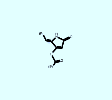 CCCC(=O)OC1=CC(=O)N/C1=C\C(C)C